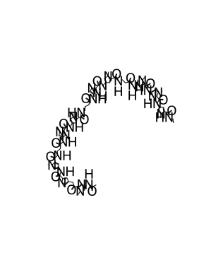 CCNC(=O)c1cc(NC(=O)c2nc(NC(=O)c3nc(NC(=O)CCNC(=O)c4cc(NC(=O)c5nc(NC(=O)CCCNC(=O)c6cc(NC(=O)c7nc(NC(=O)CCNC(=O)c8cc(NC(=O)c9cc(CC(=O)c%10nc(NC(C)=O)cn%10C)cn9C)cn8C)cn7C)cn6C)cn5C)cn4C)cn3C)cn2C)cn1C